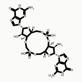 Nc1nc2c(ncn2[C@@H]2O[C@@H]3COP(=O)(O)CO[C@H]4[C@@H](O)[C@H](n5cnc6c(=O)[nH]c(N)nc65)O[C@@H]4COP(=O)(O)O[C@H]3[C@H]2N)c(=O)[nH]1